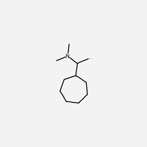 [CH2]C([C]1CCCCCC1)N(C)C